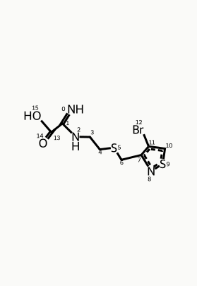 N=C(NCCSCc1nscc1Br)C(=O)O